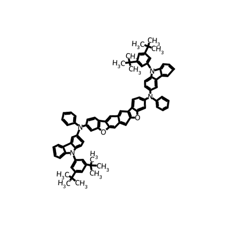 CC(C)(C)c1cc(-n2c3ccccc3c3cc(N(c4ccccc4)c4ccc5c(c4)oc4cc6cc7oc8cc(N(c9ccccc9)c9ccc%10c(c9)c9ccccc9n%10-c9cc(C(C)(C)C)cc(C(C)(C)C)c9)ccc8c7cc6cc45)ccc32)cc(C(C)(C)C)c1